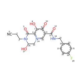 N#CCCN1C(=O)c2c(O)c(=O)c(C(=O)NCc3ccc(F)cc3)cn2CC1O